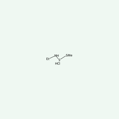 CCNSSC.Cl